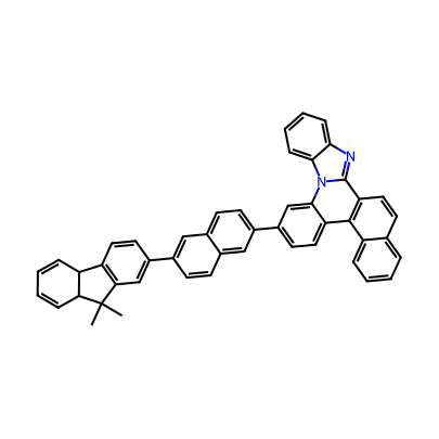 CC1(C)c2cc(-c3ccc4cc(-c5ccc6c7c8ccccc8ccc7c7nc8ccccc8n7c6c5)ccc4c3)ccc2C2C=CC=CC21